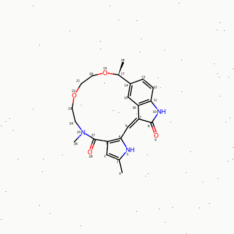 Cc1cc2c([nH]1)/C=C1\C(=O)Nc3ccc(cc31)[C@H](C)OCCOCCN(C)C2=O